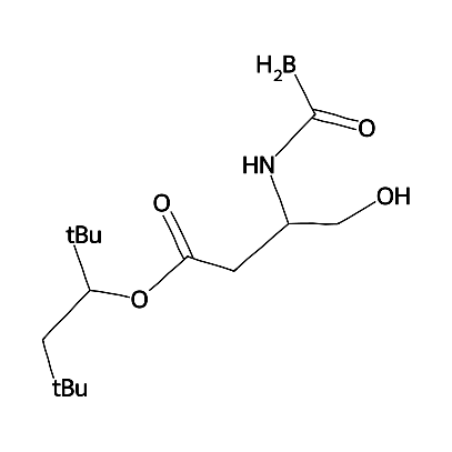 BC(=O)NC(CO)CC(=O)OC(CC(C)(C)C)C(C)(C)C